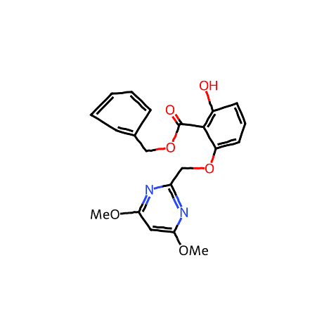 COc1cc(OC)nc(COc2cccc(O)c2C(=O)OCc2ccccc2)n1